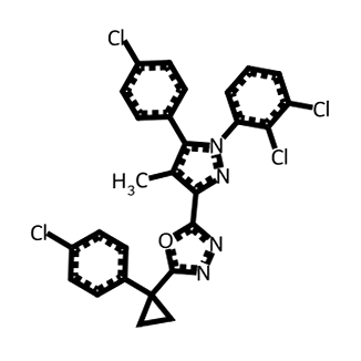 Cc1c(-c2nnc(C3(c4ccc(Cl)cc4)CC3)o2)nn(-c2cccc(Cl)c2Cl)c1-c1ccc(Cl)cc1